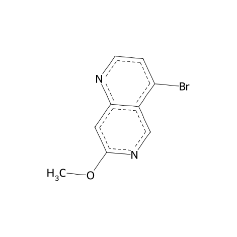 COc1cc2nccc(Br)c2cn1